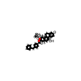 C[C@]12C=CC(=O)C=C1CC[C@@H]1[C@@H]2[C@@H](O)C[C@@]2(C)[C@H]1C[C@H]1O[C@@H](c3ccc(Cc4ccccc4)cc3)O[C@]12C(=O)COP(=O)(O)O